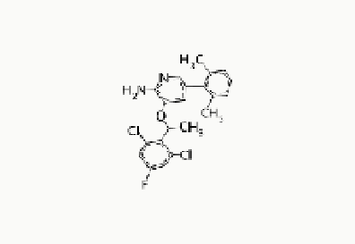 Cc1cccc(C)c1-c1cnc(N)c(OC(C)c2c(Cl)cc(F)cc2Cl)c1